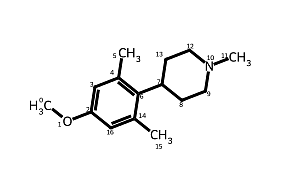 COc1cc(C)c(C2CCN(C)CC2)c(C)c1